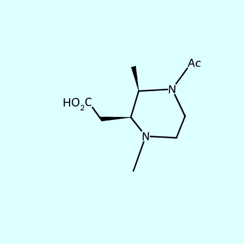 CC(=O)N1CCN(C)[C@@H](CC(=O)O)[C@H]1C